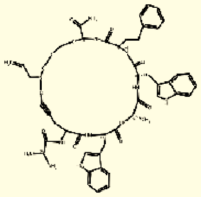 C=CCN1CC#CCC(NC(=O)[C@H](C)N)C(=O)N[C@H](Cc2c[nH]c3ccccc23)C(=O)N[C@@H](C)C(=O)N[C@@H](Cc2c[nH]c3ccccc23)C(=O)N[C@H](CCc2ccccc2)C(=O)N[C@H](C(N)=O)CCCC1